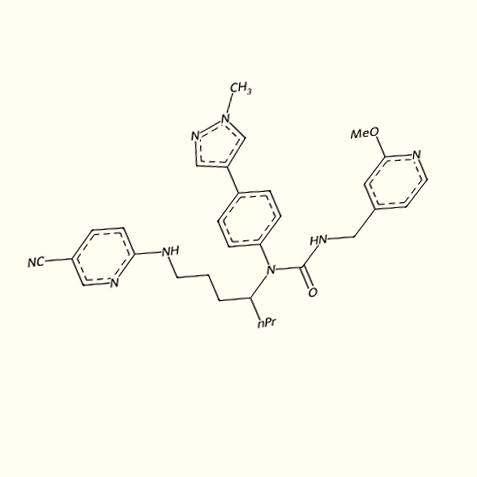 CCCC(CCCNc1ccc(C#N)cn1)N(C(=O)NCc1ccnc(OC)c1)c1ccc(-c2cnn(C)c2)cc1